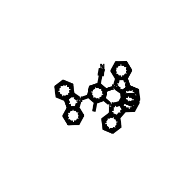 Cc1c(-n2c3ccccc3c3ccccc32)cc(C#N)c(-n2c3ccccc3c3ccccc32)c1-n1c2ccccc2c2ccccc21